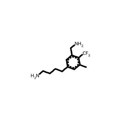 Cc1cc(CCCCN)cc(CN)c1C(F)(F)F